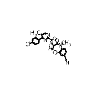 Cc1cnc(C(=O)N[C@H]2COc3cc(C#N)ccc3N(C)C2=O)nc1-c1ccc(Cl)cc1